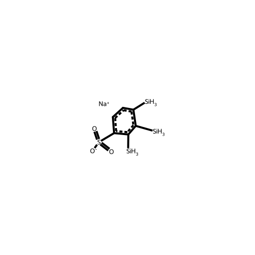 O=S(=O)([O-])c1ccc([SiH3])c([SiH3])c1[SiH3].[Na+]